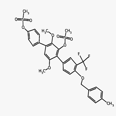 COc1cc(-c2ccc(OS(C)(=O)=O)cc2)c(OC)c(OS(C)(=O)=O)c1-c1ccc(OCc2ccc(C)cc2)c(C(F)(F)F)c1